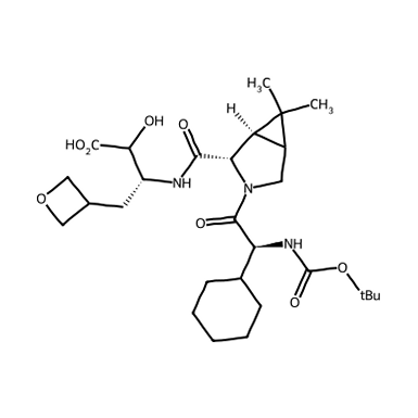 CC(C)(C)OC(=O)N[C@H](C(=O)N1CC2[C@@H]([C@H]1C(=O)N[C@H](CC1COC1)C(O)C(=O)O)C2(C)C)C1CCCCC1